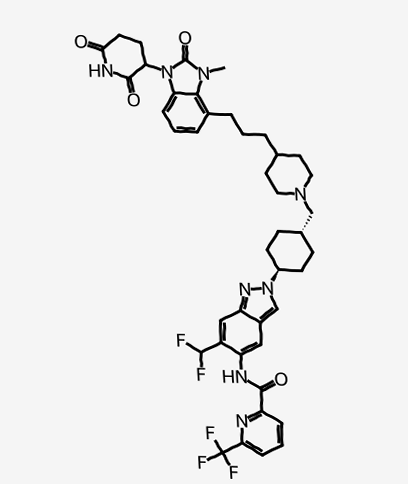 Cn1c(=O)n(C2CCC(=O)NC2=O)c2cccc(CCCC3CCN(C[C@H]4CC[C@H](n5cc6cc(NC(=O)c7cccc(C(F)(F)F)n7)c(C(F)F)cc6n5)CC4)CC3)c21